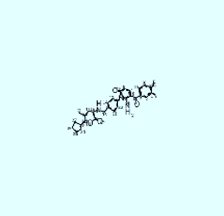 Cc1cc(C(=O)c2ccc(=O)n(-c3ccc(CNC(CC(C)CC4CCCC4)C(=O)O)cc3)c2N)ccc1F